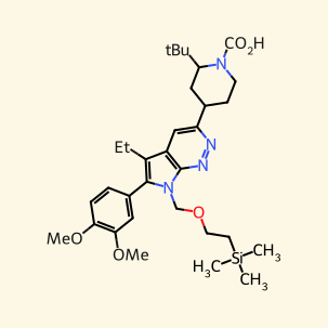 CCc1c(-c2ccc(OC)c(OC)c2)n(COCC[Si](C)(C)C)c2nnc(C3CCN(C(=O)O)C(C(C)(C)C)C3)cc12